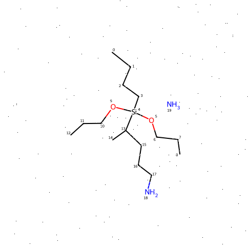 CCCC[Si](OCCC)(OCCC)C(C)CCCN.N